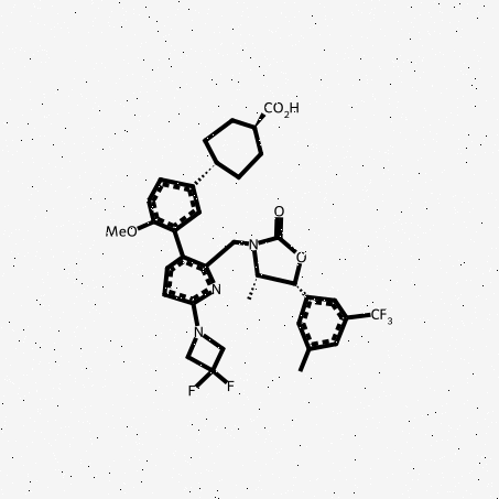 COc1ccc([C@H]2CC[C@H](C(=O)O)CC2)cc1-c1ccc(N2CC(F)(F)C2)nc1CN1C(=O)O[C@H](c2cc(C)cc(C(F)(F)F)c2)[C@@H]1C